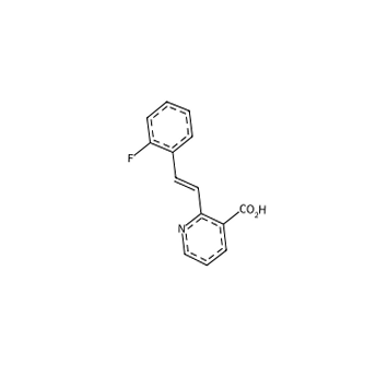 O=C(O)c1cccnc1C=Cc1ccccc1F